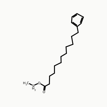 C[SiH2]OC(=O)CCCCCCCCCCCc1ccccc1